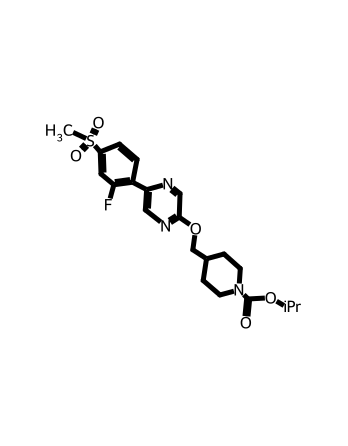 CC(C)OC(=O)N1CCC(COc2cnc(-c3ccc(S(C)(=O)=O)cc3F)cn2)CC1